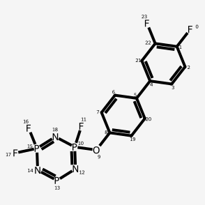 Fc1ccc(-c2ccc(OP3(F)=NP=NP(F)(F)=N3)cc2)cc1F